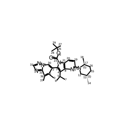 Cc1c(-c2c(C(C)C)c3nc(N4C[C@@H](C)CC[C@@H]4C)ccc3n2C(=O)OC(C)(C)C)cn2ncnc2c1C